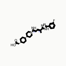 C/C(=C\C=C(/N)N1CCC([C@H]2CC[C@@H](CC(=O)O)CC2)CC1)c1nnc(-c2cccc(F)c2)[nH]1